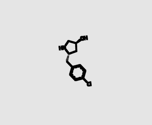 O[C@@H]1CN[C@@H](Cc2ccc(Cl)cc2)C1